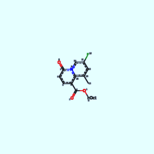 CCCCCCCCOC(=O)c1ccc(=O)n2cc(F)cc(C)c12